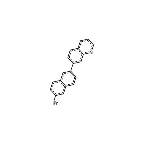 CC(C)c1ccc2cc(-c3ccc4cccnc4c3)ccc2c1